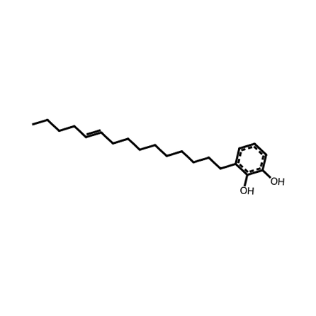 CCCCC=CCCCCCCCCCc1cccc(O)c1O